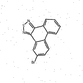 Brc1ccc2c3ccccc3c3nsnc3c2c1